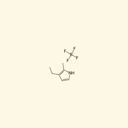 CCc1cc[nH]c1C.F[B-](F)(F)F